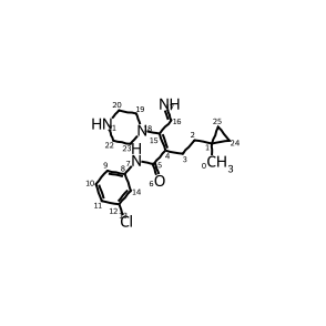 CC1(CCC(C(=O)Nc2cccc(Cl)c2)=C(C=N)N2CCNCC2)CC1